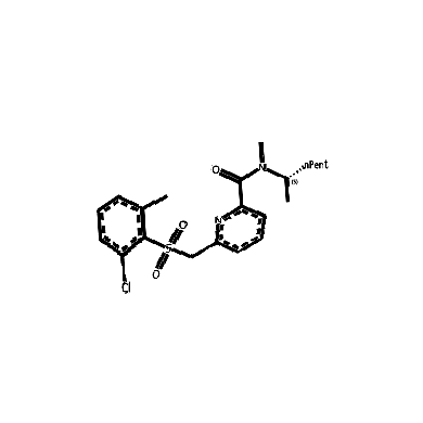 CCCCC[C@H](C)N(C)C(=O)c1cccc(CS(=O)(=O)c2c(C)cccc2Cl)n1